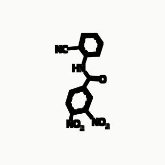 N#Cc1ccccc1NC(=O)c1ccc([N+](=O)[O-])c([N+](=O)[O-])c1